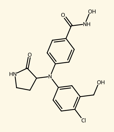 O=C(NO)c1ccc(N(c2ccc(Cl)c(CO)c2)C2CCNC2=O)cc1